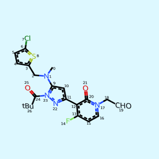 CN(Cc1ccc(Cl)s1)c1cc(-c2c(F)ccn(CC=O)c2=O)nn1C(=O)C(C)(C)C